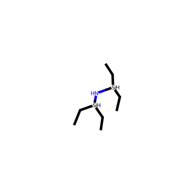 CC[SiH](CC)N[SiH](CC)CC